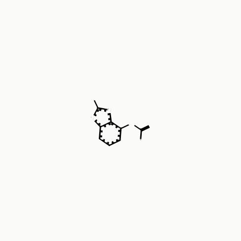 O=C(Cl)Oc1cccc2[nH]c(O)nc12